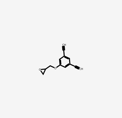 C#Cc1cc(C#C)cc(OCC2CO2)c1